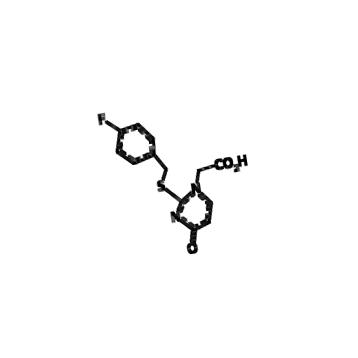 O=C(O)Cn1ccc(=O)nc1SCc1ccc(F)cc1